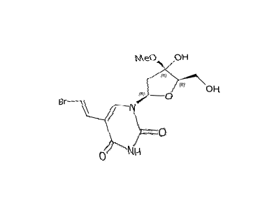 CO[C@]1(O)C[C@H](n2cc(C=CBr)c(=O)[nH]c2=O)O[C@@H]1CO